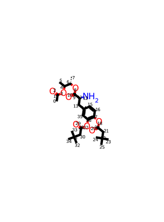 CC(=O)OC(C)[C@H](C)OC(=O)[C@@H](N)Cc1ccc(OC(=O)CC(C)(C)C)c(OC(=O)CC(C)(C)C)c1